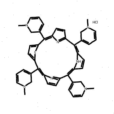 CN1C=CC=C(c2c3nc(c(C4=CC=CN(C)C4)c4ccc(s4)c(C4=CC=CN(C)C4)c4nc(c(C5=CC=CN(C)C5)c5ccc2[nH]5)C=C4)C=C3)C1.Cl